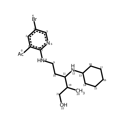 CC(=O)c1cc(Br)cnc1NCCC(NC1CCCCC1)C(C)CO